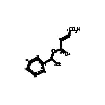 CCC(OC(=O)/C=C/C(=O)O)c1ccccc1